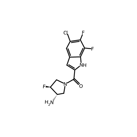 N[C@H]1CN(C(=O)c2cc3cc(Cl)c(F)c(F)c3[nH]2)C[C@@H]1F